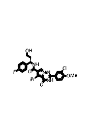 COc1ccc(-c2nn3cc(C(=O)N[C@H](CCO)c4ccc(F)cc4)c(C(C)C)c3c(=O)[nH]2)cc1Cl